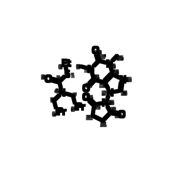 CCSC(=O)N(CC(C)C)CC(C)C.Cn1c(=O)c2c(ncn2N2C(=O)CCC2=O)n(C)c1=O